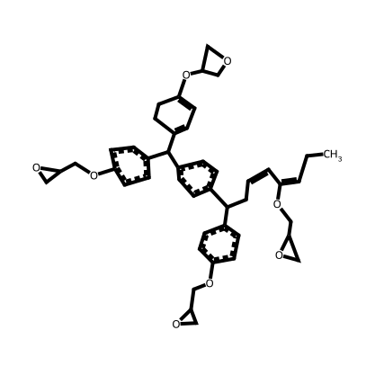 CC/C=C(\C=C/CC(c1ccc(OCC2CO2)cc1)c1ccc(C(C2=CC=C(OC3COC3)CC2)c2ccc(OCC3CO3)cc2)cc1)OCC1CO1